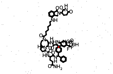 NC(=O)CCC(NC(=O)[C@@H]1CC[C@@H]2CCN(C(=O)CCCCCCNc3cccc4c3CN(C3CCC(=O)NC3=O)C4=O)C[C@H](NC(=O)c3cc4cc(C(F)(F)P(=O)(O)O)ccc4[nH]3)C(=O)N21)C(=O)NC(c1ccccc1)c1ccccc1